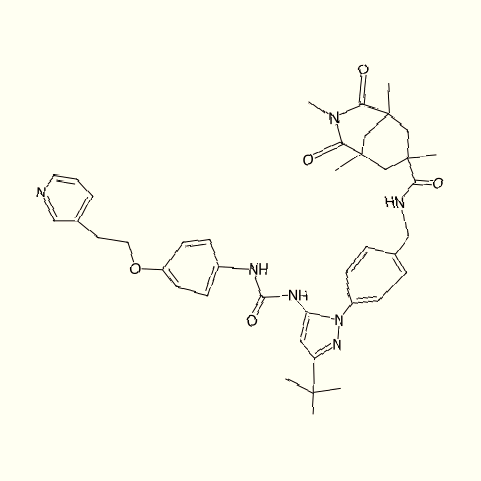 CN1C(=O)C2(C)CC(C)(C(=O)NCc3ccc(-n4nc(C(C)(C)C)cc4NC(=O)Nc4ccc(OCCc5cccnc5)cc4)cc3)CC(C)(C2)C1=O